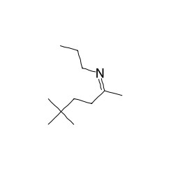 CCC/N=C(/C)CCC(C)(C)C